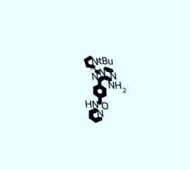 CC(C)(C)N1CCC[C@H]1c1nc(-c2ccc(C(=O)Nc3ccccn3)cc2)c2c(N)nccn12